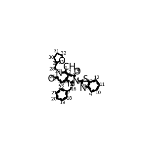 Cc1c2c(=O)n(-c3nc4ccccc4s3)n(Cc3ccccc3)c2cc(=O)n1CC1CCCO1